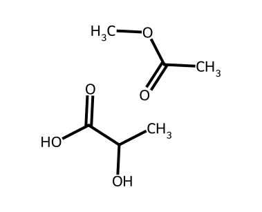 CC(O)C(=O)O.COC(C)=O